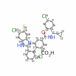 O=C(N[C@H](c1ccc(Cl)cc1)C1CC1)c1ccc(-c2c(Cl)cccc2-c2nc3cc(F)c(Cl)cc3[nH]2)c(C(=O)O)c1